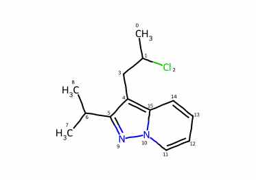 CC(Cl)Cc1c(C(C)C)nn2ccccc12